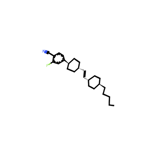 CCCCC[C@H]1CC[C@H](C=C[C@H]2CC[C@H](c3ccc(C#N)c(F)c3)CC2)CC1